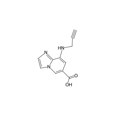 C#CCNc1cc(C(=O)O)cn2ccnc12